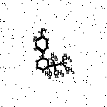 CC(C)c1ccc(N2CCC[C@](O)(C(C)(C)N(C)C)C2)cn1